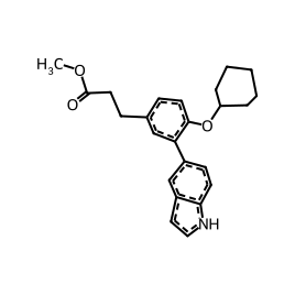 COC(=O)CCc1ccc(OC2CCCCC2)c(-c2ccc3[nH]ccc3c2)c1